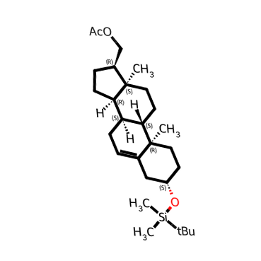 CC(=O)OC[C@@H]1CC[C@@H]2[C@@H]3CC=C4C[C@@H](O[Si](C)(C)C(C)(C)C)CC[C@]4(C)[C@H]3CC[C@]12C